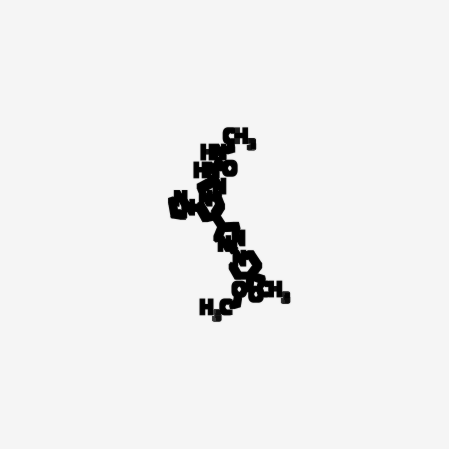 CCNC(=O)Nc1cn2c(-n3cccn3)cc(-c3cnc(N4CCC(CC)(C(=O)OCC)CC4)nc3)cc2n1